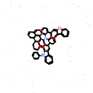 c1ccc(-n2c3ccccc3c3cc(-c4ccccc4N(c4ccccc4-c4ccc5c(c4)oc4ccccc45)c4ccccc4-c4cccc5cccc(C6CCCCC6)c45)ccc32)cc1